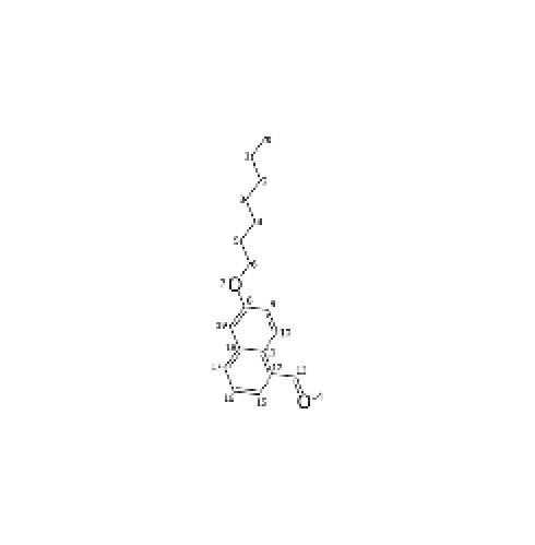 CCCCCCCOc1ccc2c(C=O)cccc2c1